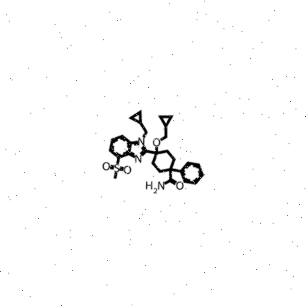 CS(=O)(=O)c1cccc2c1nc(C1(OCC3CC3)CCC(C(N)=O)(c3ccccc3)CC1)n2CC1CC1